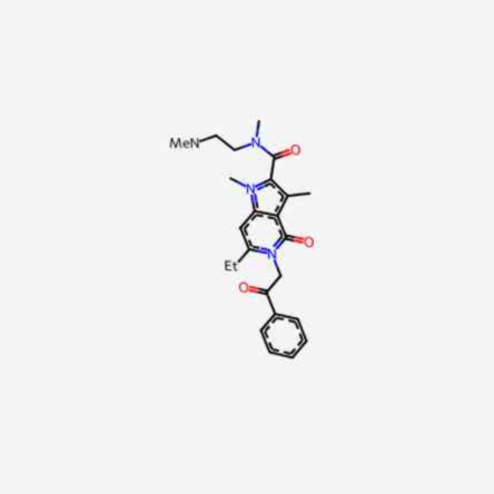 CCc1cc2c(c(C)c(C(=O)N(C)CCNC)n2C)c(=O)n1CC(=O)c1ccccc1